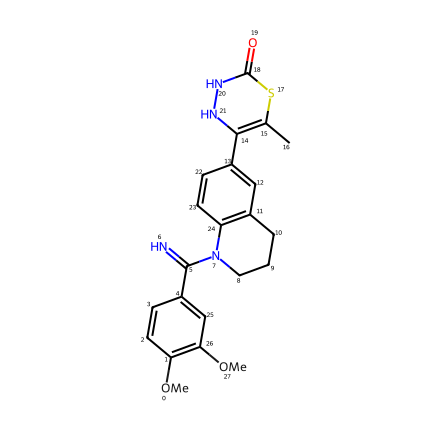 COc1ccc(C(=N)N2CCCc3cc(C4=C(C)SC(=O)NN4)ccc32)cc1OC